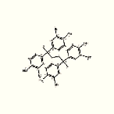 CCCc1cc(C(C)(CCC(C)(c2ccc(O)c(CC)c2)c2ccc(O)c(CC)c2)c2ccc(O)c(CCC)c2)ccc1O